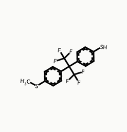 CSc1ccc(C(c2ccc(S)cc2)(C(F)(F)F)C(F)(F)F)cc1